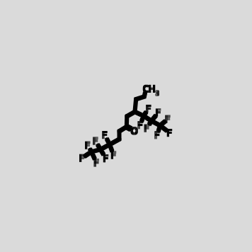 CCCC(CC(=O)CCC(F)(F)C(F)(F)C(F)(F)F)C(F)(F)C(F)(F)C(F)(F)F